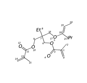 C=C(C)C(=O)OCC(CC)(COC(=O)C(=C)C)COC(=CC)C(C)C